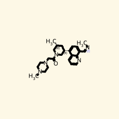 C/N=C\c1ccc([C@H]2C[C@@H](C)CN(C(=O)CN3CCN(C)CC3)C2)c2cccnc12